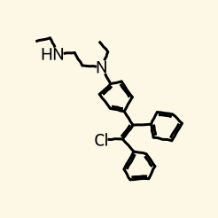 CCNCCN(CC)c1ccc(/C(=C(\Cl)c2ccccc2)c2ccccc2)cc1